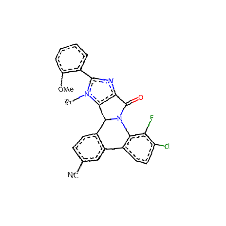 COc1ccccc1-c1nc2c(n1C(C)C)C1c3ccc(C#N)cc3-c3ccc(Cl)c(F)c3N1C2=O